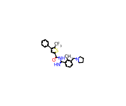 Cc1c(CN2CCCC2)cccc1C(=N)NC(=O)c1cc(-c2ccccc2)c(C(F)(F)F)s1